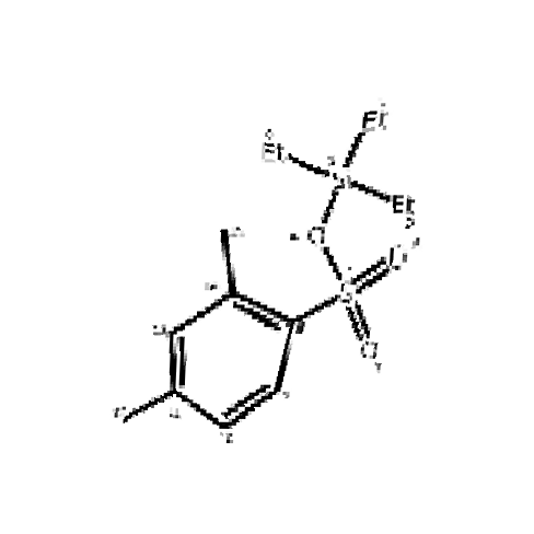 CC[Si](CC)(CC)OS(=O)(=O)c1ccc(C)cc1C